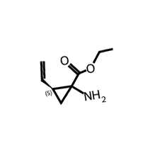 C=C[C@@H]1CC1(N)C(=O)OCC